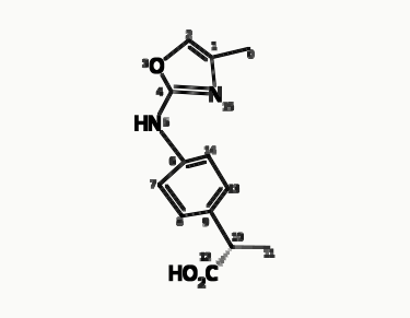 Cc1coc(Nc2ccc([C@H](C)C(=O)O)cc2)n1